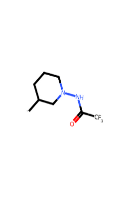 [CH2]C1CCCN(NC(=O)C(F)(F)F)C1